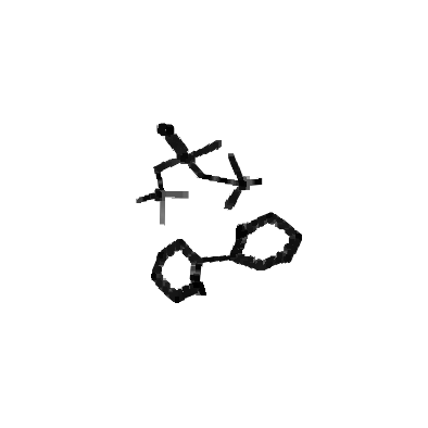 C[Si](C)(C)[CH2][Re]([CH3])(=[O])[CH2][Si](C)(C)C.c1ccc(-c2ccccn2)nc1